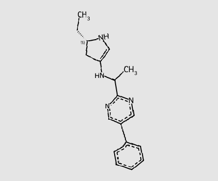 CC[C@H]1CC(NC(C)c2ncc(-c3ccccc3)cn2)=CN1